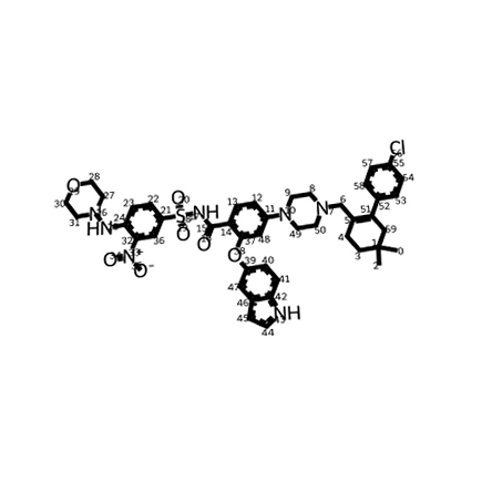 CC1(C)CCC(CN2CCN(c3ccc(C(=O)NS(=O)(=O)c4ccc(NN5CCOCC5)c([N+](=O)[O-])c4)c(Oc4ccc5[nH]ccc5c4)c3)CC2)=C(c2ccc(Cl)cc2)C1